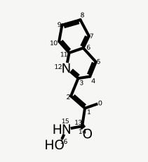 C/C(=C\c1ccc2ccccc2n1)C(=O)NO